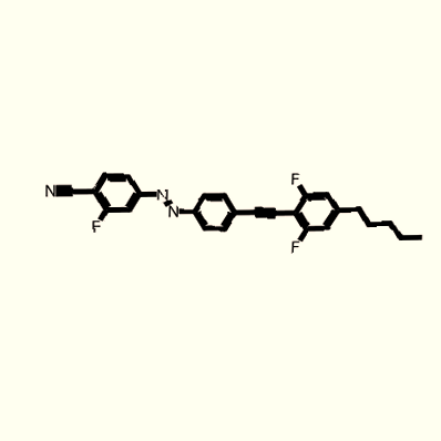 CCCCCc1cc(F)c(C#Cc2ccc(N=Nc3ccc(C#N)c(F)c3)cc2)c(F)c1